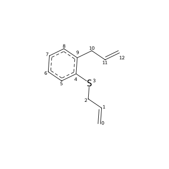 C=CCSc1ccccc1CC=C